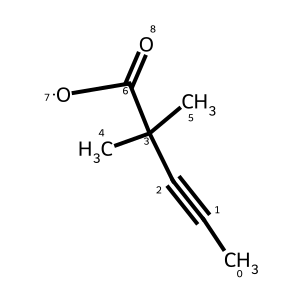 CC#CC(C)(C)C([O])=O